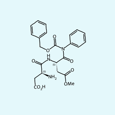 COC(=O)C[C@H](NC(=O)[C@@H](N)CC(=O)O)C(=O)N(C(=O)OCc1ccccc1)c1ccccc1